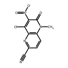 Cn1c(=O)c([N+](=O)[O-])c(Cl)c2nc(C#N)ccc21